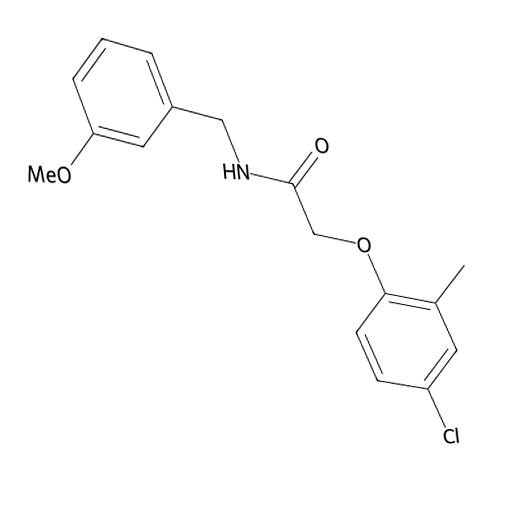 COc1cccc(CNC(=O)COc2ccc(Cl)cc2C)c1